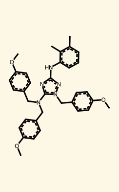 COc1ccc(CN(Cc2ccc(OC)cc2)c2nc(Nc3cccc(C)c3C)nn2Cc2ccc(OC)cc2)cc1